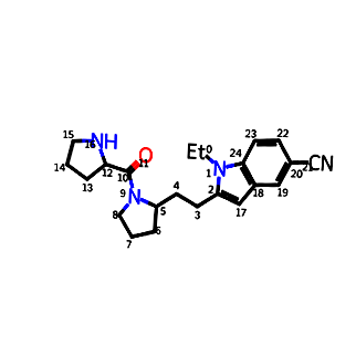 CCn1c(CCC2CCCN2C(=O)C2CCCN2)cc2cc(C#N)ccc21